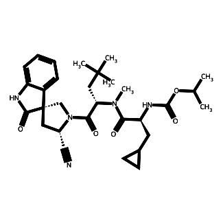 CC(C)OC(=O)N[C@@H](CC1CC1)C(=O)N(C)[C@@H](CC(C)(C)C)C(=O)N1C[C@]2(C[C@H]1C#N)C(=O)Nc1ccccc12